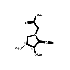 COC(=O)CN1C[C@@H](OC)[C@H](OC)C1=C=O